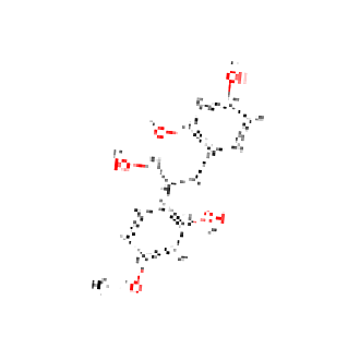 COc1ccc(C2Cc3ccc(O)cc3OC2O)c(O)c1